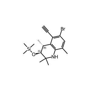 C#Cc1c(Br)cc(C)c2c1[C@@H](C)[C@H](O[Si](C)(C)C)C(C)(C)N2